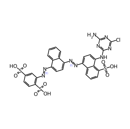 Nc1nc(Cl)nc(Nc2ccc(/N=N/c3ccc(/N=N/c4cc(S(=O)(=O)O)ccc4S(=O)(=O)O)c4ccccc34)c3cccc(S(=O)(=O)O)c23)n1